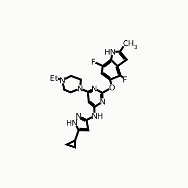 CCN1CCN(c2cc(Nc3cc(C4CC4)[nH]n3)nc(Oc3cc(F)c4[nH]c(C)cc4c3F)n2)CC1